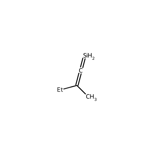 CCC(C)=C=[SiH2]